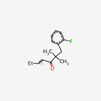 CC/C=C/C(=O)C(C)(C)Cc1ccccc1F